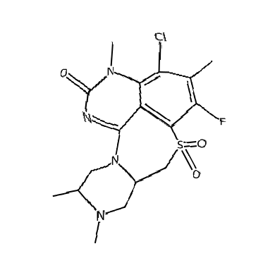 Cc1c(F)c2c3c(nc(=O)n(C)c3c1Cl)N1CC(C)N(C)CC1CS2(=O)=O